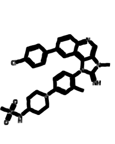 Cc1cc(N2CCC(NS(C)(=O)=O)CC2)ccc1-n1c(=N)n(C)c2cnc3ccc(-c4ccc(Cl)cc4)cc3c21